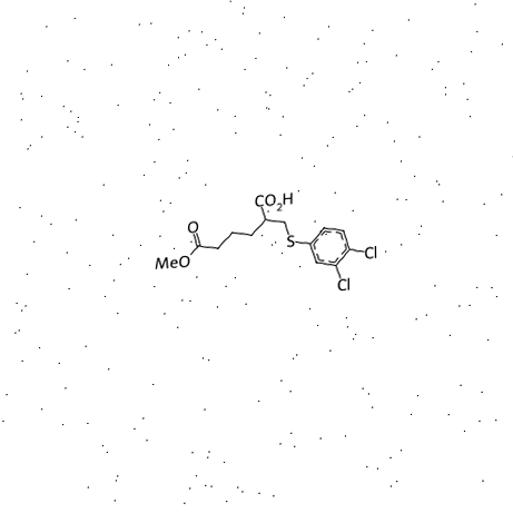 COC(=O)CCCC(CSc1ccc(Cl)c(Cl)c1)C(=O)O